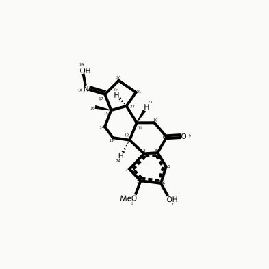 COc1cc2c(cc1O)C(=O)C[C@@H]1[C@@H]2CC[C@]2(C)C(=NO)CC[C@@H]12